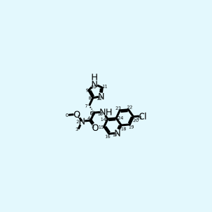 CON(C)C(=O)[C@H](Cc1c[nH]cn1)Nc1ccnc2cc(Cl)ccc12